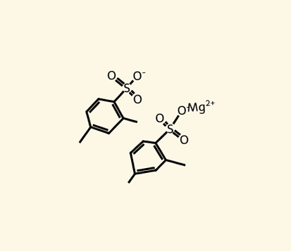 Cc1ccc(S(=O)(=O)[O-])c(C)c1.Cc1ccc(S(=O)(=O)[O-])c(C)c1.[Mg+2]